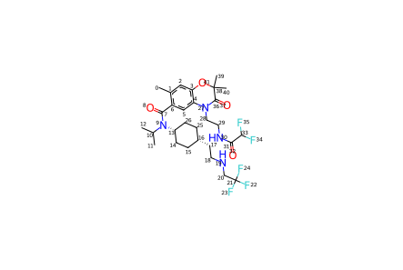 Cc1cc2c(cc1C(=O)N(C(C)C)[C@H]1CC[C@@H](CCNCC(F)(F)F)CC1)N(CCNC(=O)C(F)F)C(=O)C(C)(C)O2